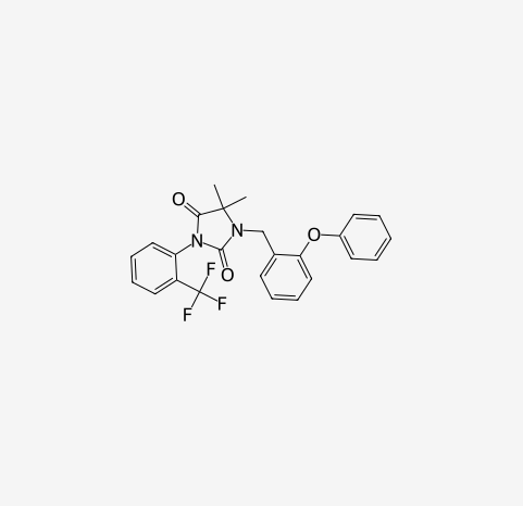 CC1(C)C(=O)N(c2ccccc2C(F)(F)F)C(=O)N1Cc1ccccc1Oc1ccccc1